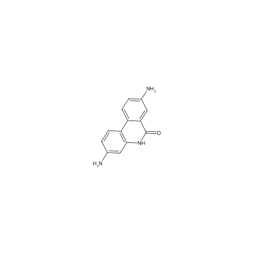 Nc1ccc2c(c1)[nH]c(=O)c1cc(N)ccc12